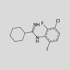 N=C(Nc1c(I)ccc(Cl)c1F)C1CCCCC1